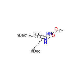 CCCCCCCCCCCCCCCCCCc1c(C)cc2c([nH]c3ccc(NC(=O)CCC(=O)C(C)C)cc32)c1CCCCCCCCCCCCCCCCCC